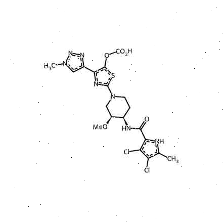 CO[C@H]1CN(c2nc(-c3cn(C)nn3)c(OC(=O)O)s2)CC[C@H]1NC(=O)c1[nH]c(C)c(Cl)c1Cl